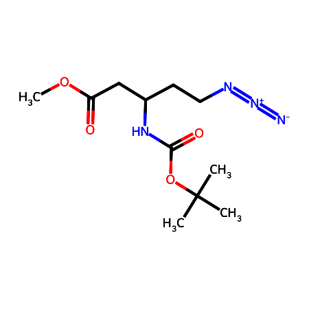 COC(=O)CC(CCN=[N+]=[N-])NC(=O)OC(C)(C)C